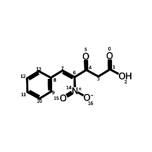 O=C(O)CC(=O)C(=Cc1ccccc1)[N+](=O)[O-]